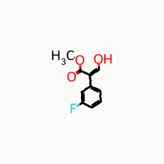 COC(=O)C(=CO)c1cccc(F)c1